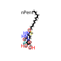 CCCCC/C=C\C/C=C\CCCCCCCCOC(=S)NC1C=CN([C@@H]2O[C@H](CO)[C@@H](O)C2(F)F)C(=O)N1